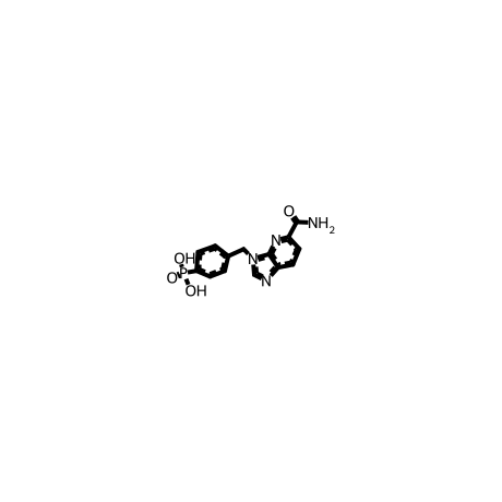 NC(=O)c1ccc2ncn(Cc3ccc(P(=O)(O)O)cc3)c2n1